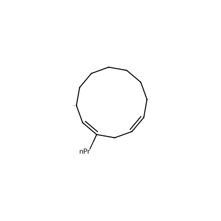 CCC/C1=C/[CH]CCCCCC/C=C\C1